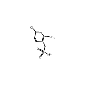 CCCS(=O)(=O)Oc1ccc(Cl)cc1C